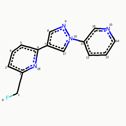 FCc1cccc(-c2cnn(-c3cccnc3)c2)n1